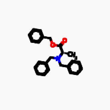 C[C@@H](C(=O)OCc1ccccc1)N(Cc1ccccc1)Cc1ccccc1